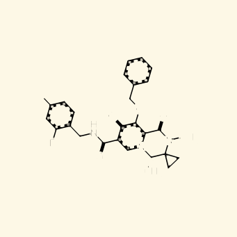 C[C@@H]1n2cc(C(=O)NCc3ccc(F)cc3F)c(=O)c(OCc3ccccc3)c2C(=O)N(C)C12CC2